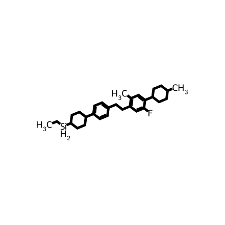 CC[SiH2]C1CCC(c2ccc(CCc3cc(F)c(C4CCC(C)CC4)cc3C)cc2)CC1